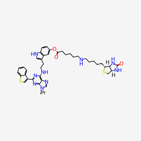 CC(C)n1cnc2c(NCCc3c[nH]c4ccc(OC(=O)CCCCCNCCCCC[C@@H]5SC[C@@H]6NC(=O)N[C@@H]65)cc34)nc(-c3csc4ccccc34)nc21